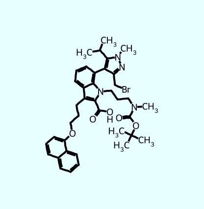 CC(C)c1c(-c2cccc3c(CCCOc4cccc5ccccc45)c(C(=O)O)n(CCCN(C)C(=O)OC(C)(C)C)c23)c(CBr)nn1C